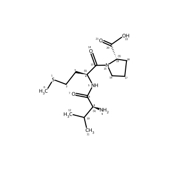 CSCC[C@H](NC(=O)[C@@H](N)C(C)C)C(=O)N1CCC[C@H]1C(=O)O